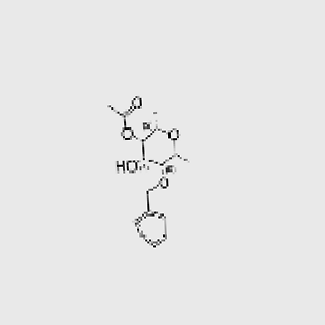 CC(=O)OC1[C@H](C)OC(C)[C@H](OCc2ccccc2)[C@@H]1O